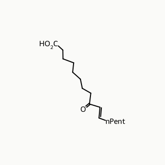 CCCCCC=CC(=O)CCCCCCCC(=O)O